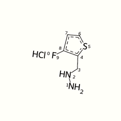 Cl.NNCc1sccc1F